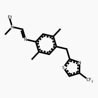 CCN(C)/C=N/c1cc(C)c(Cc2nc(C(F)(F)F)cs2)cc1C